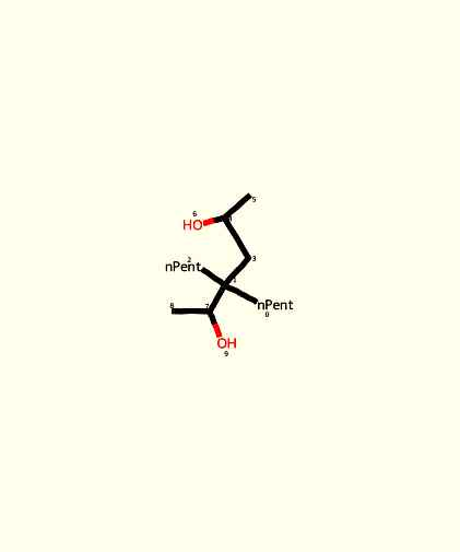 CCCCCC(CCCCC)(CC(C)O)C(C)O